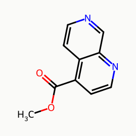 COC(=O)c1ccnc2cnccc12